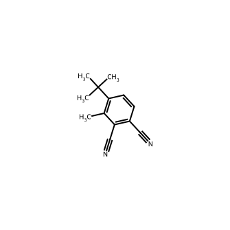 Cc1c(C(C)(C)C)ccc(C#N)c1C#N